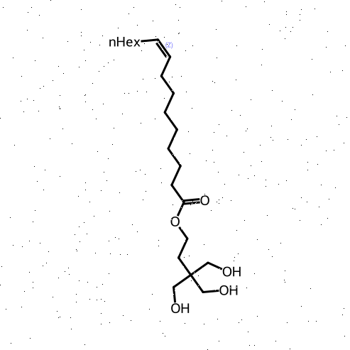 CCCCCC/C=C\CCCCCCCC(=O)OCCC(CO)(CO)CO